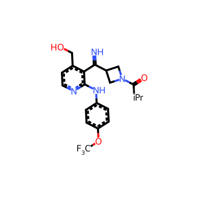 CC(C)C(=O)N1CC(C(=N)c2c(CO)ccnc2Nc2ccc(OC(F)(F)F)cc2)C1